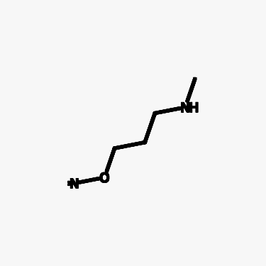 CNCCCO[N]